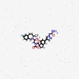 NC(=O)Cn1cc(-c2ccc3c(c2)CCC32OC(=O)N(CC(=O)N3Cc4ccc(F)cc4CC[C@H]3C(F)(F)F)C2=O)cn1